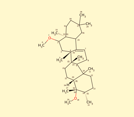 COC1C[C@]2(C)C(=CCC3C4(C)CC[C@H](C)[C@](C)(OC)[C@@H]4CC[C@@]32C)C2CC(C)(C)CC[C@]12C